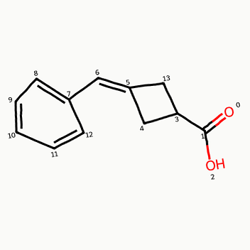 O=C(O)C1CC(=Cc2ccccc2)C1